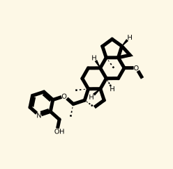 COC1C[C@H]2[C@@H]3CC[C@H]([C@H](C)Oc4cccnc4CO)[C@@]3(C)CC[C@@H]2[C@@]2(C)CC[C@@H]3CC132